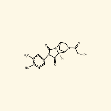 Cc1cc(N2C(=O)[C@@H]3C4CC(CN4C(=O)CC(C)(C)C)N3C2=O)cnc1C#N